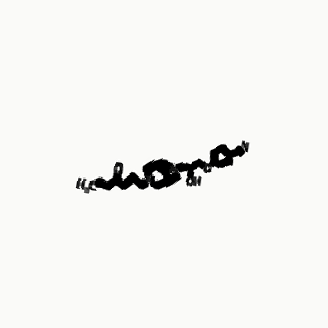 CCCC(=O)CCCN1CC2CC(C1)CN(CC(O)COc1ccc(C#N)cc1)C2